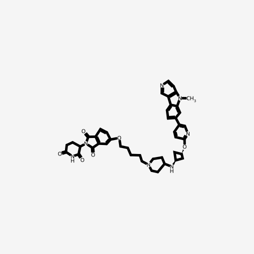 Cn1c2ccncc2c2ccc(-c3ccc(O[C@H]4C[C@H](NC5CCN(CCCCCOc6ccc7c(c6)C(=O)N(C6CCC(=O)NC6=O)C7=O)CC5)C4)nc3)cc21